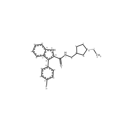 CC[C@H]1CCC(CNC(=O)c2[nH]c3ccccc3c2-c2ccc(F)cc2)C1